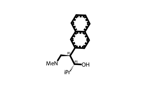 CNC[C@@H](c1ccc2ccccc2c1)[C@H](O)C(C)C